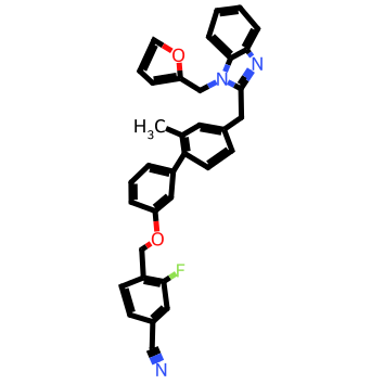 Cc1cc(Cc2nc3ccccc3n2Cc2ccco2)ccc1-c1cccc(OCc2ccc(C#N)cc2F)c1